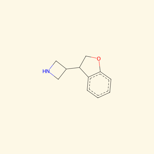 c1ccc2c(c1)OCC2C1CNC1